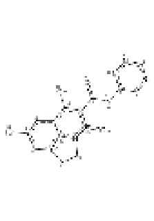 O=C(Nc1cccnn1)c1c(O)c2cc(O)cc3c2n(c1=O)CC3